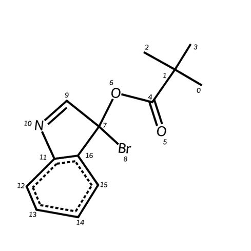 CC(C)(C)C(=O)OC1(Br)C=Nc2ccccc21